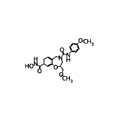 COC[C@@H]1CN(C(=O)Nc2ccc(OC)cc2)CC2=CCC(C(=O)NO)C=C2O1